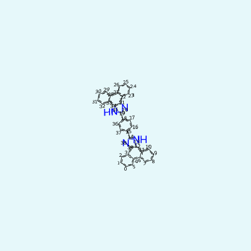 c1ccc2c(c1)c1ccccc1c1[nH]c(-c3ccc(-c4nc5c6ccccc6c6ccccc6c5[nH]4)cc3)nc21